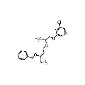 CC(CCOC(C)COc1cncc(Cl)n1)OCc1ccccc1